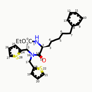 CCOC(=O)N[C@@H](CCC[CH]Cc1ccccc1)C(=O)N(Cc1cccs1)Cc1cccs1